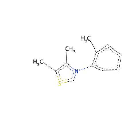 Cc1ccccc1-[n+]1csc(C)c1C